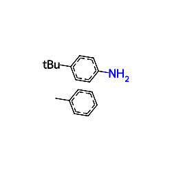 CC(C)(C)c1ccc(N)cc1.Cc1ccccc1